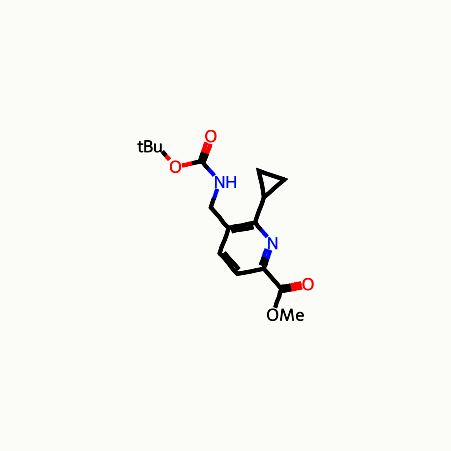 COC(=O)c1ccc(CNC(=O)OC(C)(C)C)c(C2CC2)n1